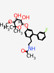 CO[C@@H]1[C@@H](O)[C@@H](O)[C@H](Oc2ccc(CCNC(C)=O)c(-c3cccc(F)c3)c2)OC1(C)C